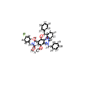 COc1c2c(c(OC(c3ccccc3)c3ccccc3)c3ncn(Cc4ccccc4)c13)C(=O)N(Cc1ccc(F)cc1)C2=O